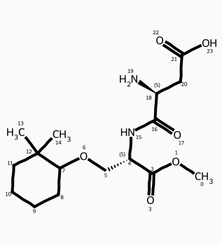 COC(=O)[C@H](COC1CCCCC1(C)C)NC(=O)[C@@H](N)CC(=O)O